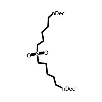 CCCCCCCCCCCCCCCS(=O)(=O)CCCCCCCCCCCCCCC